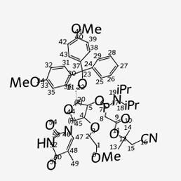 COCCOC1C(OP(CC(=O)OC(C)(C)CC#N)N(C(C)C)C(C)C)[C@@H](COC(c2ccccc2)(c2ccc(OC)cc2)c2ccc(OC)cc2)O[C@H]1n1cc(C)c(=O)[nH]c1=O